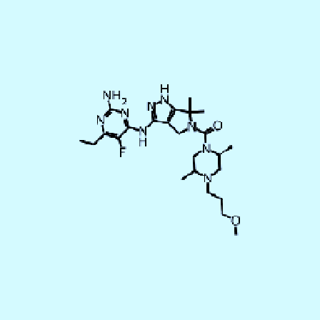 CCc1nc(N)nc(Nc2n[nH]c3c2CN(C(=O)N2CC(C)N(CCCOC)C[C@@H]2C)C3(C)C)c1F